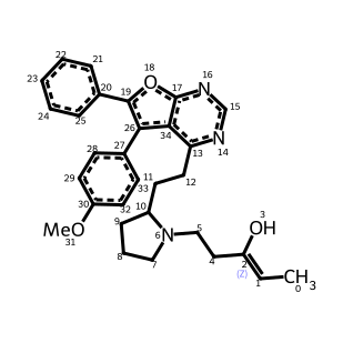 C/C=C(\O)CCN1CCCC1CCc1ncnc2oc(-c3ccccc3)c(-c3ccc(OC)cc3)c12